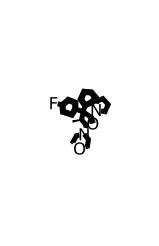 C[C@H](CN1CCOCC1)C(C(=O)N1CCCC1)(c1ccccc1)c1ccc(F)cc1